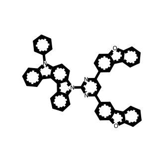 c1ccc(-n2c3ccccc3c3c4c5ccccc5n(-c5nc(-c6ccc7oc8ccccc8c7c6)cc(-c6ccc7oc8ccccc8c7c6)n5)c4ccc32)cc1